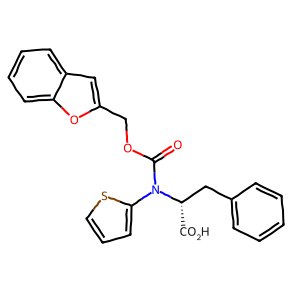 O=C(O)[C@@H](Cc1ccccc1)N(C(=O)OCc1cc2ccccc2o1)c1cccs1